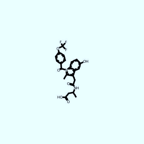 Cc1c(CC(=O)NC(C)CC(=O)O)c2cc(O)ccc2n1C(=O)c1ccc(OC(F)(F)F)cc1